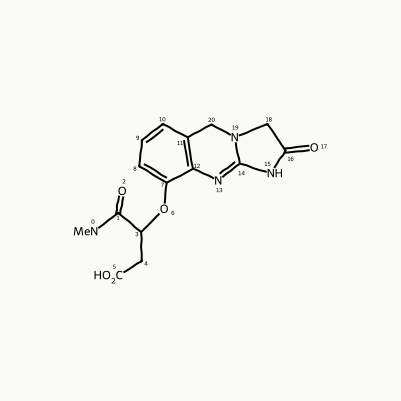 CNC(=O)C(CC(=O)O)Oc1cccc2c1N=C1NC(=O)CN1C2